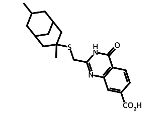 CC1CC2CC(C1)CC(C)(SCc1nc3cc(C(=O)O)ccc3c(=O)[nH]1)C2